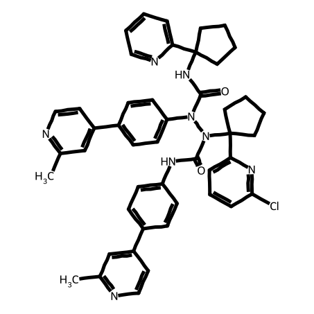 Cc1cc(-c2ccc(NC(=O)N(N(C(=O)NC3(c4ccccn4)CCCC3)c3ccc(-c4ccnc(C)c4)cc3)C3(c4cccc(Cl)n4)CCCC3)cc2)ccn1